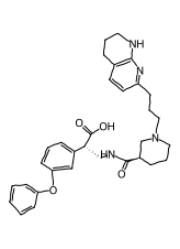 O=C(NC[C@@H](C(=O)O)c1cccc(Oc2ccccc2)c1)[C@@H]1CCCN(CCCc2ccc3c(n2)NCCC3)C1